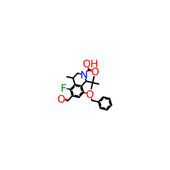 CC1CN(C(=O)O)C(C(C)(C)C)c2c(OCc3ccccc3)cc(C=O)c(F)c21